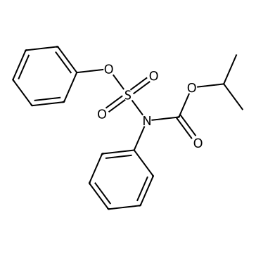 CC(C)OC(=O)N(c1ccccc1)S(=O)(=O)Oc1ccccc1